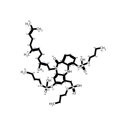 CCCCOP(=O)(O)Cc1cc(OP(=O)(O)OCCCC)cc2c1Nc1c(OP(=O)(O)OCCCC)cccc1C(=O)N2C/C=C(\C)CC/C=C(\C)CCC=C(C)C